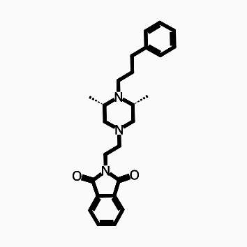 C[C@@H]1CN(CCN2C(=O)c3ccccc3C2=O)C[C@H](C)N1CCCc1ccccc1